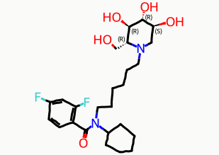 O=C(c1ccc(F)cc1F)N(CCCCCCN1C[C@H](O)[C@@H](O)[C@H](O)[C@H]1CO)C1CCCCC1